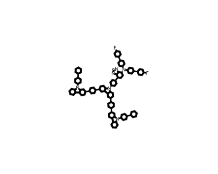 Fc1ccc(-c2ccc(N(c3ccc(-c4ccc(F)cc4)cc3)c3ccc(-c4ccc(-n5c6ccc(-c7ccc(-c8ccc9c%10ccccc%10n(-c%10ccc(-c%11ccccc%11)cc%10)c9c8)cc7)cc6c6cc(-c7ccc(-c8ccc9c%10ccccc%10n(-c%10ccc(-c%11ccccc%11)cc%10)c9c8)cc7)ccc65)cc4)c4nsnc34)cc2)cc1